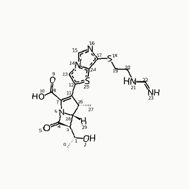 C[C@@H](O)[C@H]1C(=O)N2C(C(=O)O)=C(c3cn4cnc(SCCNC=N)c4s3)[C@H](C)[C@H]12